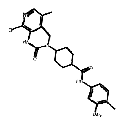 COc1cc(NC(=O)C2CCC(N3Cc4c(C)cnc(Cl)c4NC3=O)CC2)ccc1C